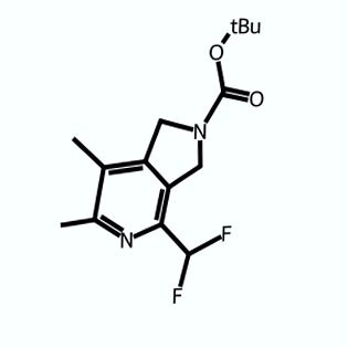 Cc1nc(C(F)F)c2c(c1C)CN(C(=O)OC(C)(C)C)C2